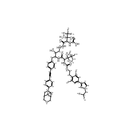 CN1C2COCC1CN(c1ccc(C#Cc3ccc(CC(NC(=O)C(NC(=O)OCCc4c(F)cc(-c5ccn(CC(F)F)n5)cc4F)C(C)(C)C(F)(F)F)C(O)CNNC(=O)C(NC(=O)O)C(C)(C)C(F)(F)F)cc3)cn1)C2